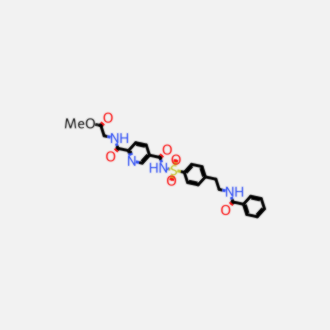 COC(=O)CNC(=O)c1ccc(C(=O)NS(=O)(=O)c2ccc(CCNC(=O)c3ccccc3)cc2)cn1